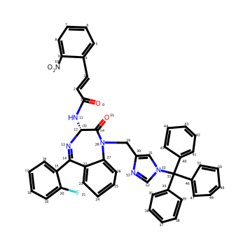 O=C(C=Cc1ccccc1[N+](=O)[O-])N[C@H]1N=C(c2ccccc2F)c2ccccc2N(Cc2cn(C(c3ccccc3)(c3ccccc3)c3ccccc3)cn2)C1=O